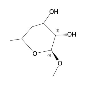 CO[C@H]1OC(C)CC(O)[C@@H]1O